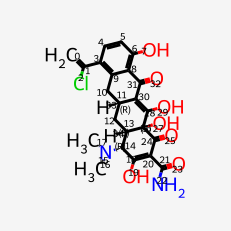 C=C(Cl)c1ccc(O)c2c1C[C@H]1C[C@H]3[C@@H](N(C)C)C(O)=C(C(N)=O)C(=O)[C@@]3(O)C(O)=C1C2=O